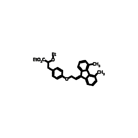 CCOC(=O)C(Cc1ccc(OCC=C2c3cccc(C)c3-c3c(C)cccc32)cc1)OCC